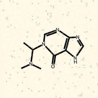 CC(N(C)C)n1cnc2nc[nH]c2c1=O